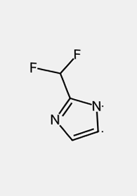 FC(F)C1=NC=[C][N]1